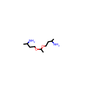 CC(N)CCOC(C)OCCC(C)N